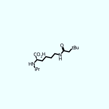 CC(C)N[C@H](CCCCNC(=O)CC(C)(C)C)C(=O)O